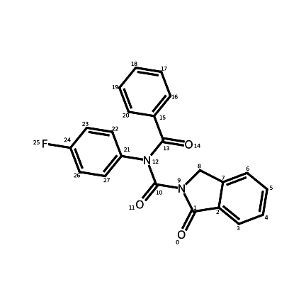 O=C1c2ccccc2CN1C(=O)N(C(=O)c1ccccc1)c1ccc(F)cc1